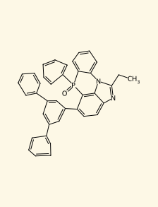 CCc1nc2ccc(-c3cc(-c4ccccc4)cc(-c4ccccc4)c3)c3c2n1-c1ccccc1P3(=O)c1ccccc1